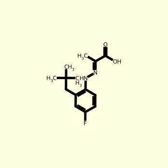 C/C(=N\Nc1ccc(F)cc1CC(C)(C)C)C(=O)O